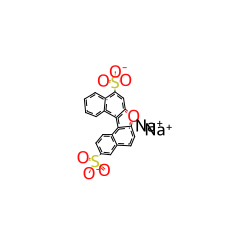 O=S(=O)([O-])c1ccc2c(ccc3oc4cc(S(=O)(=O)[O-])c5ccccc5c4c32)c1.[Na+].[Na+]